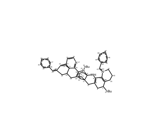 CCCCC1CC2=C(NC34CCC=CC3(C2)CC2=C(C3=NC=CCC35C=CC(=Cc3ccccc3)CC5C2)N4CCCC)C2=C1CCC[N+]2=Cc1ccccc1